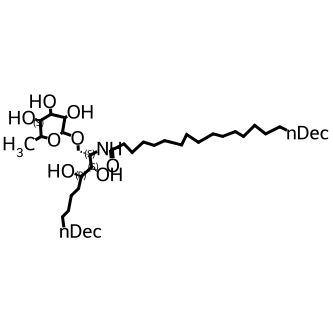 CCCCCCCCCCCCCCCCCCCCCCCCCC(=O)N[C@@H](COC1OC(C)[C@@H](O)C(O)C1O)[C@H](O)[C@H](O)CCCCCCCCCCCCCC